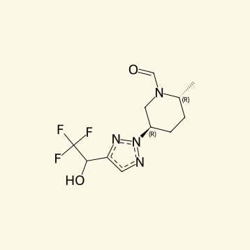 C[C@@H]1CC[C@@H](n2ncc(C(O)C(F)(F)F)n2)CN1C=O